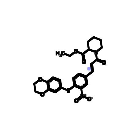 CCOC(=O)C1CCCCN1C(=O)/C=C/c1ccc(Sc2ccc3c(c2)OCCO3)c([N+](=O)[O-])c1